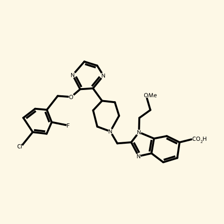 COCCn1c(CN2CCC(c3nccnc3OCc3ccc(Cl)cc3F)CC2)nc2ccc(C(=O)O)cc21